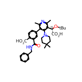 Cc1nc(C)c([C@H](OC(C)(C)C)C(=O)O)c(N2CCC(C)(C)CC2)c1-c1ccc(C(=O)O)c(C(=O)NCc2ccccc2)c1